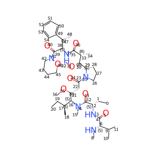 CC[C@H](NC(=O)[C@@H](NC)C(C)C)C(=O)N(C)[C@@H]([C@@H](C)CC)[C@@H](CC(=O)N1CCC[C@H]1[C@H](OC)[C@@H](C)C(=O)N[C@H](C(=O)N1CCCCO1)[C@@H](C)c1ccccc1)OC